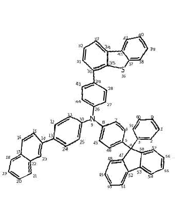 c1ccc(C2(c3ccc(N(c4ccc(-c5ccc6ccccc6c5)cc4)c4ccc(-c5cccc6c5sc5ccccc56)cc4)cc3)c3ccccc3-c3ccccc32)cc1